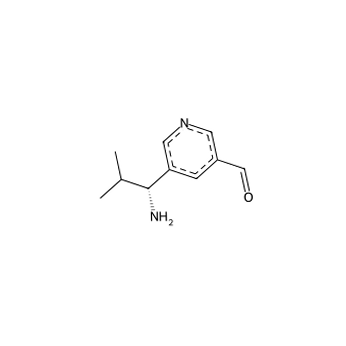 CC(C)[C@@H](N)c1cncc(C=O)c1